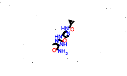 Cc1nc(Nc2ccnc(NC(=O)C3CC3)c2)c(=O)[nH]c1C(N)=O